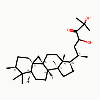 C[C@H](CC(O)C(=O)C(C)(C)O)[C@H]1CC[C@@]2(C)[C@@H]3CC[C@H]4C(C)(C)[C@@H](C)CC[C@@]45C[C@@]35CC[C@]12C